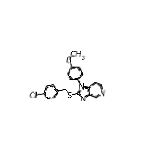 COc1ccc(-n2c(SCc3ccc(Cl)cc3)nc3cnccc32)cc1